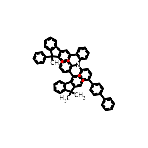 CC1(C)c2ccccc2-c2c(-c3ccccc3N(c3ccc(-c4ccc(-c5ccccc5)cc4)cc3)c3ccccc3-c3ccc4c(c3)-c3ccccc3C4(C)c3ccccc3)cccc21